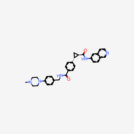 CN1CCN(c2ccc(CNC(=O)c3ccc([C@@H]4C[C@H]4C(=O)Nc4ccc5cnccc5c4)cc3)cc2)CC1